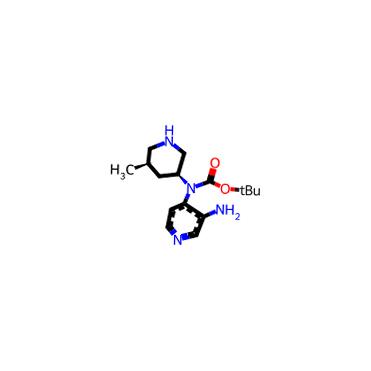 C[C@H]1CNC[C@@H](N(C(=O)OC(C)(C)C)c2ccncc2N)C1